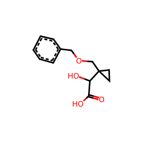 O=C(O)C(O)C1(COCc2ccccc2)CC1